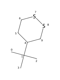 CC(C)(C)C1CCSSC1